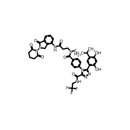 CC(C)c1cc(-c2nnc(C(=O)NCC(F)(F)F)n2-c2ccc(C(=O)N(C)CCC(=O)Nc3cccc4c3CN(N3C(=O)CCCC3=O)C4=O)cc2)c(O)cc1O